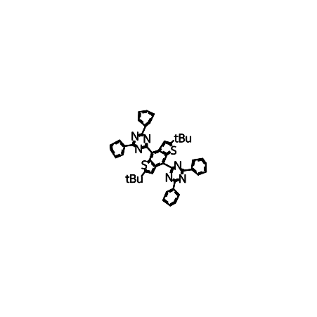 CC(C)(C)c1cc2c(-c3nc(-c4ccccc4)nc(-c4ccccc4)n3)c3sc(C(C)(C)C)cc3c(-c3nc(-c4ccccc4)nc(-c4ccccc4)n3)c2s1